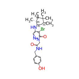 C[C@@H]1[C@@H](C)C(C)(C)[C@@H](C)C[C@H]1Nc1cnn(CC(=O)NCc2ccc(O)cc2)c(=O)c1Br